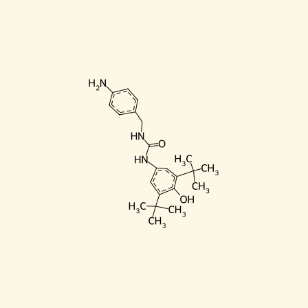 CC(C)(C)c1cc(NC(=O)NCc2ccc(N)cc2)cc(C(C)(C)C)c1O